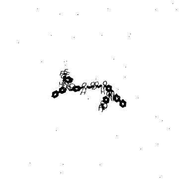 O=C(CCNC(=O)c1ccc(CN(C(=O)Nc2cccc(OC(F)(F)F)c2)c2ccc(C3=CCCCC3)cc2)cc1)OC(=O)CCNC(=O)c1ccc(CN(C(=O)Nc2cccc(OC(F)(F)F)c2)C2CCC(C3CCCCC3)CC2)cc1